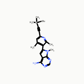 Cc1cc(C#C[Si](C)(C)C(C)(C)C)nc(C)c1-c1cc2c(N)ncnc2n1C